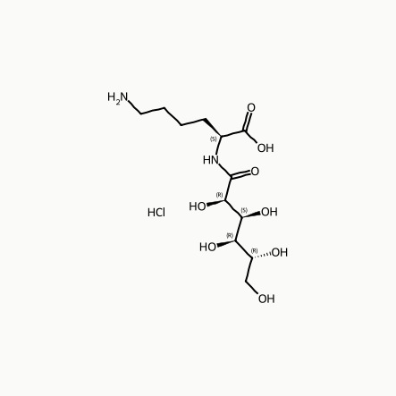 Cl.NCCCC[C@H](NC(=O)[C@H](O)[C@@H](O)[C@H](O)[C@H](O)CO)C(=O)O